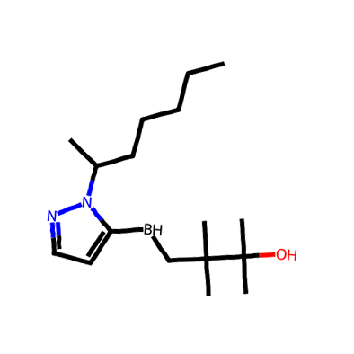 CCCCCC(C)n1nccc1BCC(C)(C)C(C)(C)O